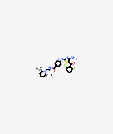 C[C@@H]1CCC[C@H](C)N1CCNC(=O)c1ccc(Nc2nc(N)c(C(=O)c3c(F)cccc3F)s2)cc1